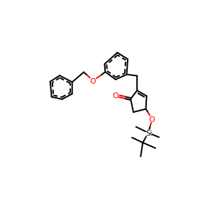 CC(C)(C)[Si](C)(C)OC1C=C(Cc2cccc(OCc3ccccc3)c2)C(=O)C1